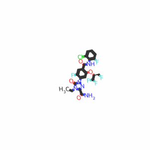 CCn1c(C(N)=O)nn(-c2cc(O[C@@H](CF)C(F)F)c(C(=O)Nc3c(F)cccc3Cl)cc2F)c1=O